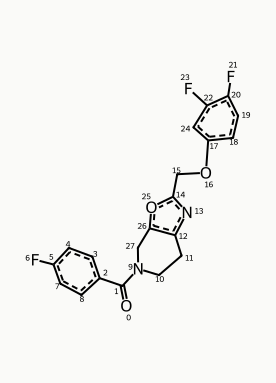 O=C(c1ccc(F)cc1)N1CCc2nc(COc3ccc(F)c(F)c3)oc2C1